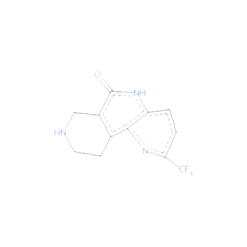 O=c1[nH]c2ccc(C(F)(F)F)nc2c2c1CNCC2